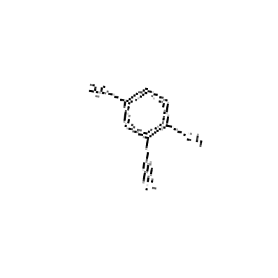 C#Cc1cc(C(=O)O)ccc1C